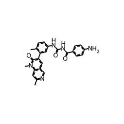 Cc1cc2c(cn1)cc(-c1cc(NC(=O)NC(=O)c3ccc(N)cc3)ccc1C)c(=O)n2C